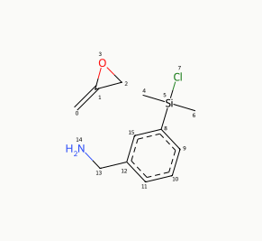 C=C1CO1.C[Si](C)(Cl)c1cccc(CN)c1